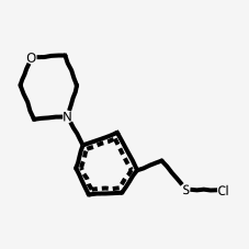 ClSCc1cccc(N2CCOCC2)c1